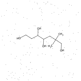 CC(C)(CO)CC(O)C(O)CCO